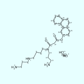 Cl.Cl.Cl.NCCCNCCCCN(CCCN)C(=O)CC(=O)Oc1ccc2ccc3ccccc3c2c1